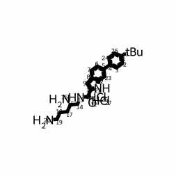 CC(C)(C)c1ccc(-c2ccc3cc(C(=O)NC[C@@H](N)CCCN)[nH]c3c2)cc1.Cl.Cl